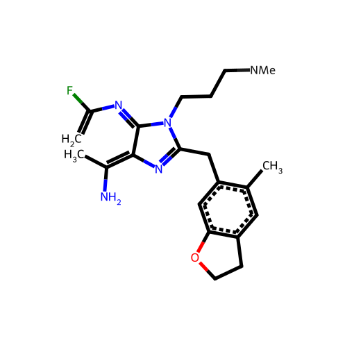 C=C(F)/N=C1\C(=C(/C)N)N=C(Cc2cc3c(cc2C)CCO3)N1CCCNC